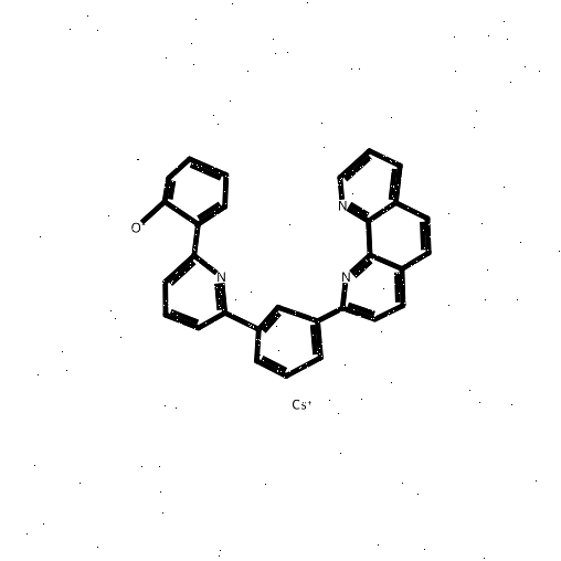 [Cs+].[O-]c1ccccc1-c1cccc(-c2cccc(-c3ccc4ccc5cccnc5c4n3)c2)n1